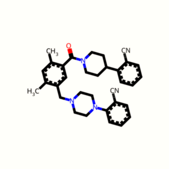 Cc1cc(C)c(C(=O)N2CCC(c3ccccc3C#N)CC2)cc1CN1CCN(c2ccccc2C#N)CC1